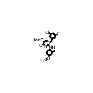 COc1cn(Cc2cc(F)cc(Cl)c2)c(NC2C=CC(OC(F)(F)F)=CC2C)nc1=O